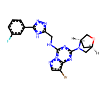 Fc1cccc(-c2nnc(CNc3nc(N4C[C@H]5C[C@@H]4CO5)nc4c(Br)cnn34)[nH]2)c1